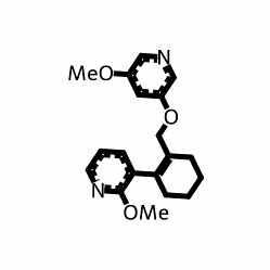 COc1cncc(OCC2=C(c3cccnc3OC)CCCC2)c1